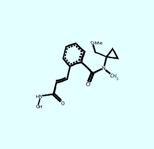 COCC1(N(C)C(=O)c2ccccc2C=CC(=O)NO)CC1